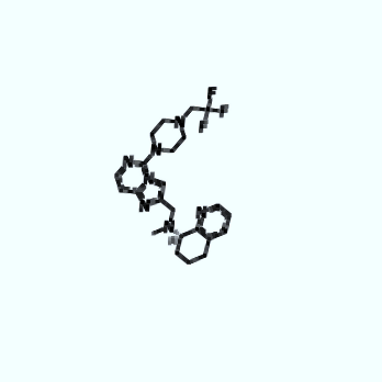 CN(Cc1cn2c(N3CCN(CC(F)(F)F)CC3)nccc2n1)[C@H]1CCCc2cccnc21